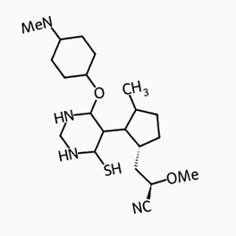 CNC1CCC(OC2NCNC(S)C2C2C(C)CC[C@@H]2C[C@H](C#N)OC)CC1